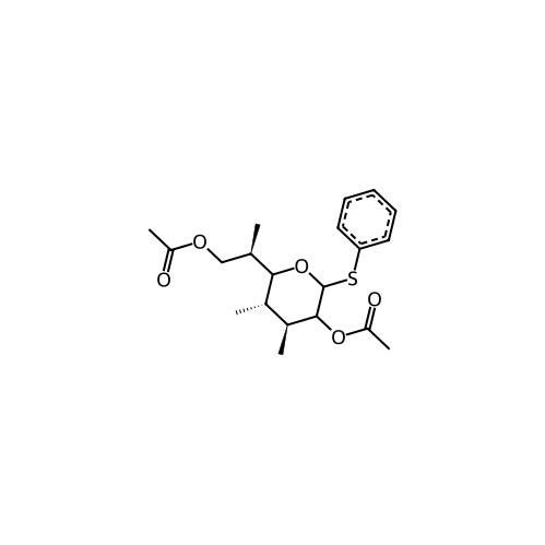 CC(=O)OC[C@@H](C)C1OC(Sc2ccccc2)C(OC(C)=O)[C@@H](C)[C@@H]1C